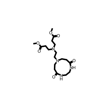 COC(=O)CCN(CCC(=O)OC)CCN1CCC(=O)NCCNC(=O)CC1